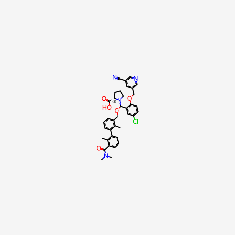 Cc1c(COC(c2cc(Cl)ccc2OCc2cncc(C#N)c2)N2CCC[C@H]2C(=O)O)cccc1-c1cccc(C(=O)N(C)C)c1C